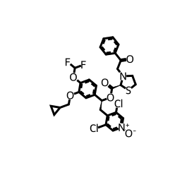 O=C(CN1CCS[C@H]1C(=O)O[C@@H](Cc1c(Cl)c[n+]([O-])cc1Cl)c1ccc(OC(F)F)c(OCC2CC2)c1)c1ccccc1